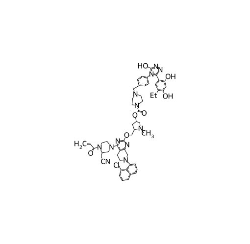 C=CC(=O)N1CCN(c2nc(OCC3CC(OC(=O)N4CCN(Cc5ccc(-n6c(O)nnc6-c6cc(CC)c(O)cc6O)cc5)CC4)CN3C)nc3c2CCN(c2cccc4cccc(Cl)c24)C3)CC1CC#N